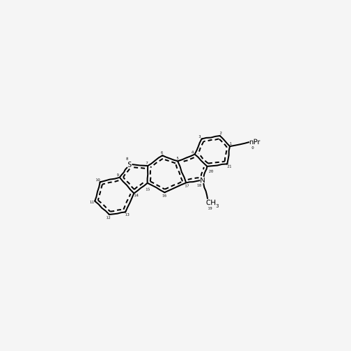 CCCc1ccc2c3cc4sc5ccccc5c4cc3n(C)c2c1